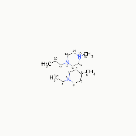 CCN1CCC(C)CC1.[CH2]CCN1CCN(C)CC1